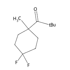 CC(C)(C)C(=O)C1(C)CCC(F)(F)CC1